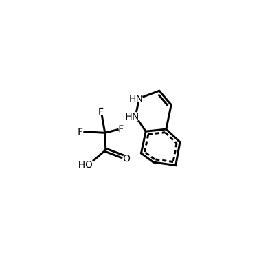 C1=Cc2ccccc2NN1.O=C(O)C(F)(F)F